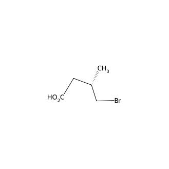 C[C@H](CBr)CC(=O)O